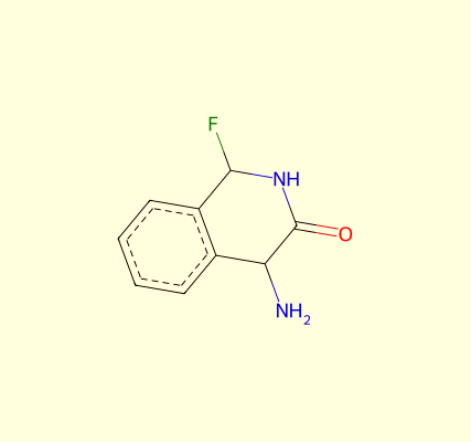 NC1C(=O)NC(F)c2ccccc21